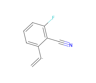 C=[C]c1cccc(F)c1C#N